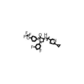 CC(C)(N[C@H]1C[C@@H](c2cc(F)cc(F)c2)N(c2ccc(OC(F)(F)F)cc2)C1=O)c1ccc(C2CC2)nc1